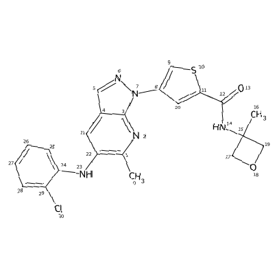 Cc1nc2c(cnn2-c2csc(C(=O)NC3(C)COC3)c2)cc1Nc1ccccc1Cl